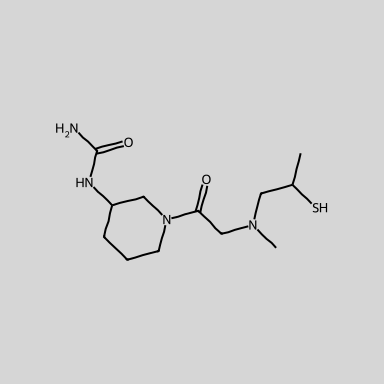 CC(S)CN(C)CC(=O)N1CCCC(NC(N)=O)C1